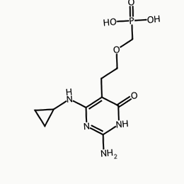 Nc1nc(NC2CC2)c(CCOCP(=O)(O)O)c(=O)[nH]1